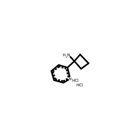 Cl.Cl.NC1(c2ccccn2)CCC1